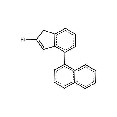 CCC1=Cc2c(cccc2-c2cccc3ccccc23)C1